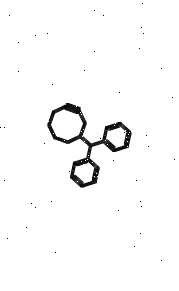 C1#CCC(C(c2ccccc2)c2ccccc2)CCCC1